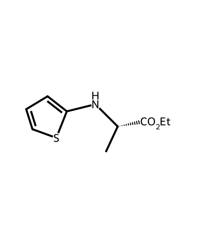 CCOC(=O)[C@H](C)Nc1cccs1